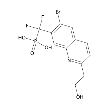 O=P(O)(O)C(F)(F)c1cc2nc(CCO)ccc2cc1Br